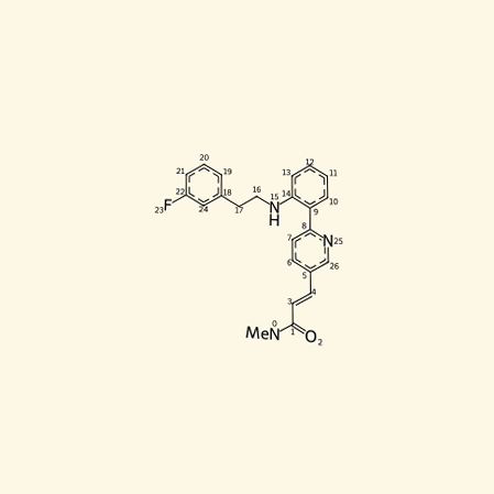 CNC(=O)C=Cc1ccc(-c2ccccc2NCCc2cccc(F)c2)nc1